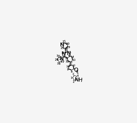 C1CCNC1.COc1cccc(-c2ccc3nc(-c4cccnc4)nc(N4CCCC4)c3c2)c1